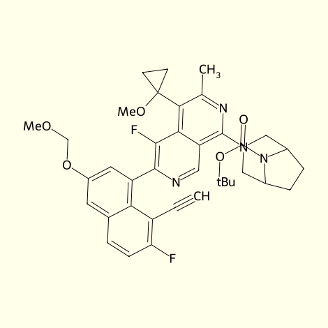 C#Cc1c(F)ccc2cc(OCOC)cc(-c3ncc4c(N5CC6CCC(C5)N6C(=O)OC(C)(C)C)nc(C)c(C5(OC)CC5)c4c3F)c12